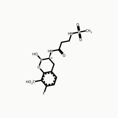 CS(=O)(=O)NCCC(=O)N[C@H]1Cc2ccc(F)c(C(=O)O)c2OB1O